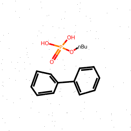 CCCCOP(=O)(O)O.c1ccc(-c2ccccc2)cc1